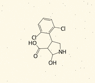 O=C(O)C1C(O)NCC1c1c(Cl)cccc1Cl